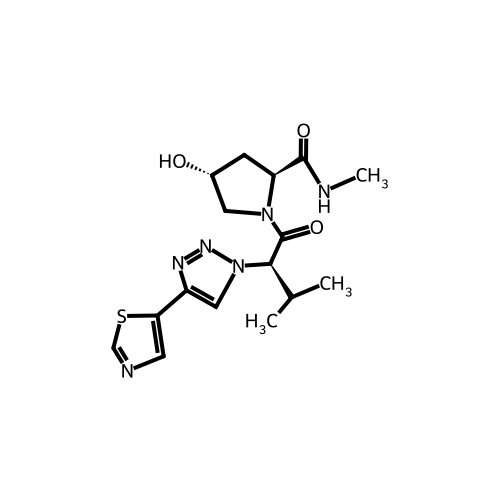 CNC(=O)[C@@H]1C[C@@H](O)CN1C(=O)[C@@H](C(C)C)n1cc(-c2cncs2)nn1